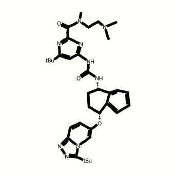 CN(C)CCN(C)C(=O)c1nc(NC(=O)N[C@H]2CC[C@@H](Oc3ccc4nnc(C(C)(C)C)n4c3)c3ccccc32)cc(C(C)(C)C)n1